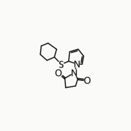 O=C1CCC(=O)N1N1C=CC=CC1SC1CCCCC1